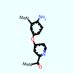 CNC(=O)c1cc(Oc2ccc(N)c(NC)c2)ccn1